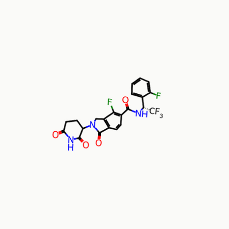 O=C1CCC(N2Cc3c(ccc(C(=O)N[C@H](c4ccccc4F)C(F)(F)F)c3F)C2=O)C(=O)N1